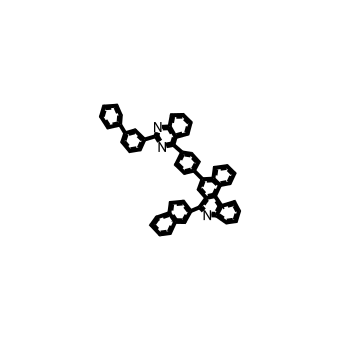 c1ccc(-c2cccc(-c3nc(-c4ccc(-c5cc6c(-c7ccc8ccccc8c7)nc7ccccc7c6c6ccccc56)cc4)c4ccccc4n3)c2)cc1